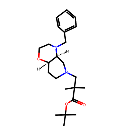 CC(C)(C)OC(=O)C(C)(C)CN1CC[C@H]2OCCN(Cc3ccccc3)[C@H]2C1